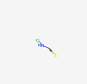 S=CNCl